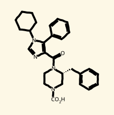 O=C(O)N1CCN(C(=O)c2ncn(C3CCCCC3)c2-c2ccccc2)[C@H](Cc2ccccc2)C1